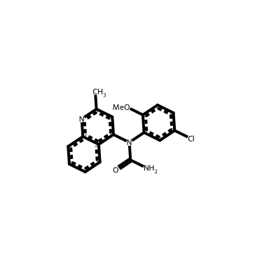 COc1ccc(Cl)cc1N(C(N)=O)c1cc(C)nc2ccccc12